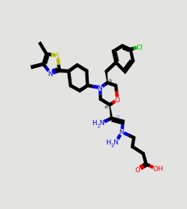 Cc1nc(C2CCC(N3C[C@H](/C(N)=C/N(N)CCCC(=O)O)OC[C@@H]3Cc3ccc(Cl)cc3)CC2)sc1C